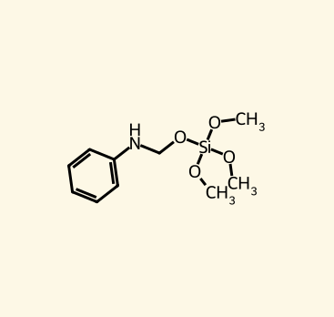 CO[Si](OC)(OC)OCNc1ccccc1